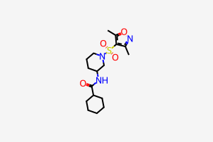 Cc1noc(C)c1S(=O)(=O)N1CCCC(NC(=O)C2CCCCC2)C1